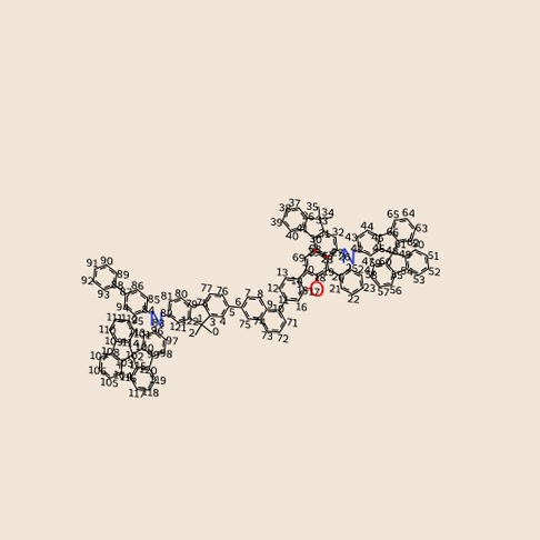 CC1(C)c2cc(-c3ccc4c(-c5ccc6c(c5)oc5c(-c7ccccc7N(c7ccc8c(c7)C(C)(C)c7ccccc7-8)c7ccc8c(c7)C7(c9ccccc9-c9ccccc97)c7ccccc7-8)cccc56)cccc4c3)ccc2-c2ccc(N(c3ccc(-c4ccccc4)cc3)c3ccc4c(c3)C3(c5ccccc5-c5ccccc53)c3ccccc3-4)cc21